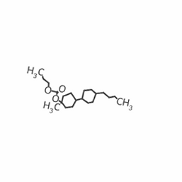 CCCCC1CCC(C2CCC(C)(OC(=O)OCCC)CC2)CC1